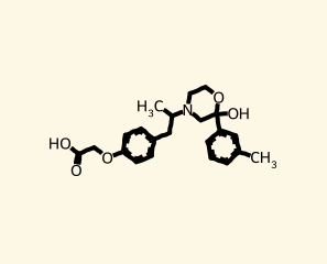 Cc1cccc(C2(O)CN(C(C)Cc3ccc(OCC(=O)O)cc3)CCO2)c1